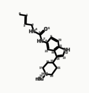 CC=CCNC(=O)Nc1ccc2[nH]cc(C3CCN(CCCC)CC3)c2c1